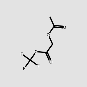 CC(=O)OCC(=O)OC(F)(F)F